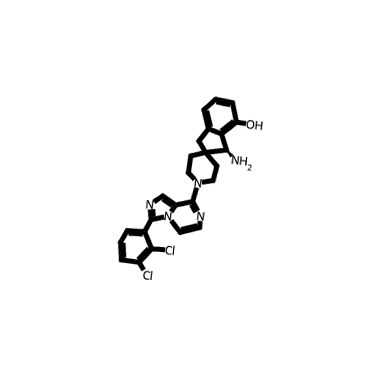 N[C@@H]1c2c(O)cccc2CC12CCN(c1nccn3c(-c4cccc(Cl)c4Cl)ncc13)CC2